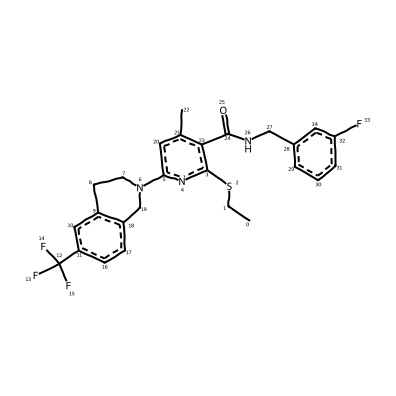 CCSc1nc(N2CCc3cc(C(F)(F)F)ccc3C2)cc(C)c1C(=O)NCc1cccc(F)c1